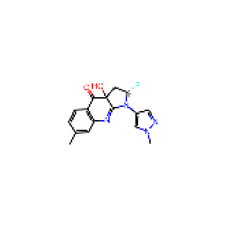 Cc1ccc2c(c1)N=C1N(c3cnn(C)c3)[C@@H](F)CC1(O)C2=O